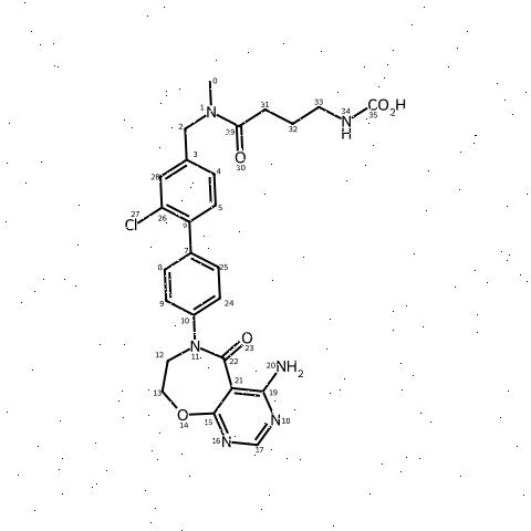 CN(Cc1ccc(-c2ccc(N3CCOc4ncnc(N)c4C3=O)cc2)c(Cl)c1)C(=O)CCCNC(=O)O